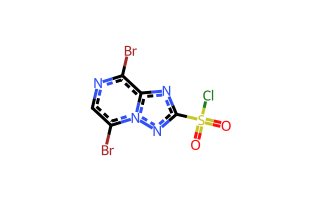 O=S(=O)(Cl)c1nc2c(Br)ncc(Br)n2n1